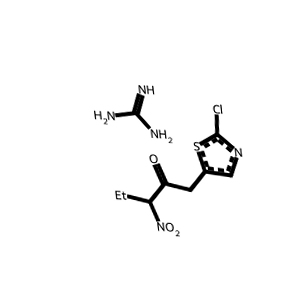 CCC(C(=O)Cc1cnc(Cl)s1)[N+](=O)[O-].N=C(N)N